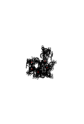 CCSSC[C@H](NC(=O)OC(C)(C)C)C(=O)NCCOCCOCC(=O)N[C@@H](Cc1ccc(OCC(C)C)cc1)C(=O)N[C@@H](COCC(C)C)C(=O)N[C@H](C(=O)N[C@H]1COC(=O)[C@H](CCSC)NC(=O)[C@H](C(C)CC)NC(=O)[C@H](Cc2ccccc2)NC(=O)[C@H](CC(=O)OCC(C)C)NC1=O)C(C)OCC(C)C